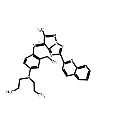 CCCN(CCC)c1ccc(/N=C2/C(C)=Nn3nc(-c4ccc5ccccc5n4)nc32)c(CO)c1